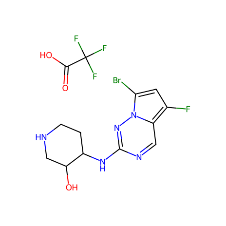 O=C(O)C(F)(F)F.OC1CNCCC1Nc1ncc2c(F)cc(Br)n2n1